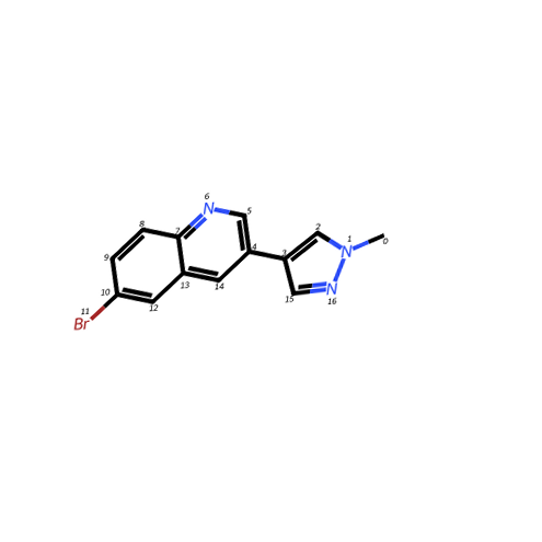 Cn1cc(-c2cnc3ccc(Br)cc3c2)cn1